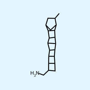 CC1CC2CC1C1C2C2C1C1C3C4C5CC(CN)C5C4C3C21